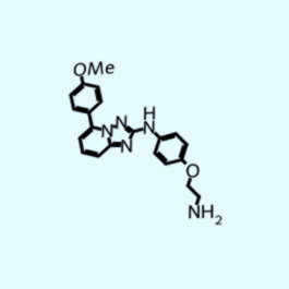 COc1ccc(-c2cccc3nc(Nc4ccc(OCCN)cc4)nn23)cc1